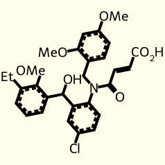 CCc1cccc(C(O)c2cc(Cl)ccc2N(Cc2ccc(OC)cc2OC)C(=O)/C=C/C(=O)O)c1OC